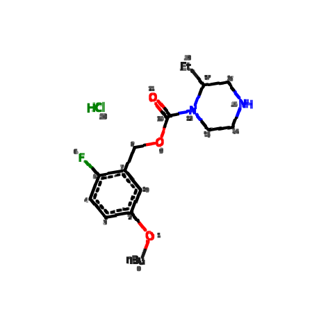 CCCCOc1ccc(F)c(COC(=O)N2CCNCC2CC)c1.Cl